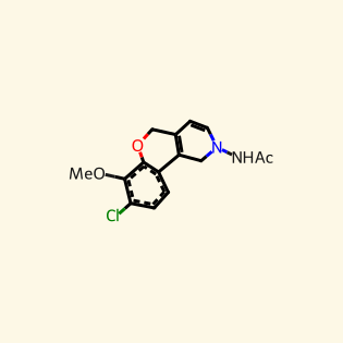 COc1c(Cl)ccc2c1OCC1=C2CN(NC(C)=O)C=C1